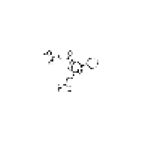 COC(=O)/C=C/C(=O)OCC(OC(=O)/C=C/C(=O)OC)N1CCCCC1